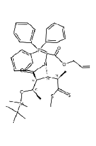 C=CCOC(=O)C(N1C(=O)[C@H]([C@@H](C)O[Si](C)(C)C(C)(C)C)[C@H]1[C@@H](C)C(=S)SC)=P(c1ccccc1)(c1ccccc1)c1ccccc1